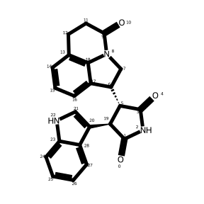 O=C1NC(=O)[C@@H](C2CN3C(=O)CCc4cccc2c43)[C@@H]1c1c[nH]c2ccccc12